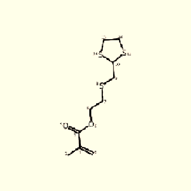 C=C(C)C(=O)OCCSCC1SCCS1